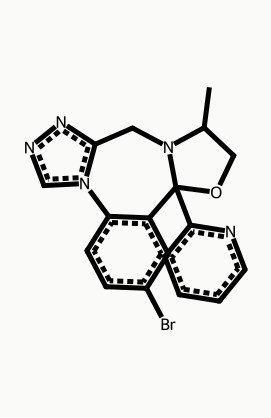 CC1COC2(c3ccccn3)c3cc(Br)ccc3-n3cnnc3CN12